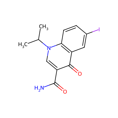 CC(C)n1cc(C(N)=O)c(=O)c2cc(I)ccc21